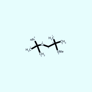 CCCC(C)(C)OCC(C)(C)SC